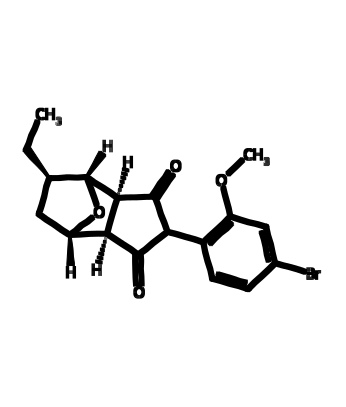 CC[C@@H]1C[C@@H]2O[C@H]1[C@H]1C(=O)C(c3ccc(Br)cc3OC)C(=O)[C@H]12